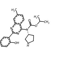 Cc1ccc2c(N(C(=O)OC(C)C)[C@@H]3CCNC3)nc(-c3ccccc3O)nc2c1